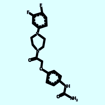 NC(=O)Nc1ccc(OCC(=O)N2CCN(c3ccc(F)c(F)c3)CC2)cc1